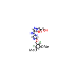 COc1cc(OC)c(F)c(COc2cnc(Nc3cnn(C[C@@H](O)CO)c3)cn2)c1F